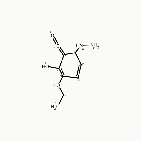 CCOC1=C(O)C(=C=O)C(NN)C=C1